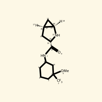 COC1(C(F)(F)F)CCCC(NC(=O)[C@@H]2C[C@H]3C[C@H]3N2)C1